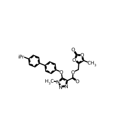 Cc1oc(=O)oc1COC(=O)c1nnn(C)c1Oc1ccc(-c2ccc(C(C)C)cc2)cc1